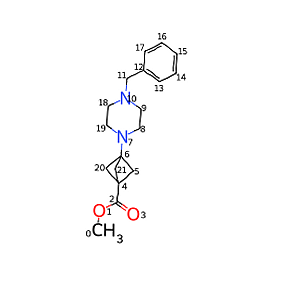 COC(=O)C12CC(N3CCN(Cc4ccccc4)CC3)(C1)C2